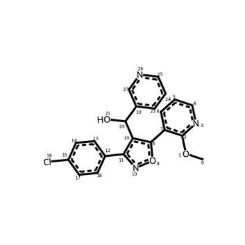 COc1ncccc1-c1onc(-c2ccc(Cl)cc2)c1C(O)c1cccnc1